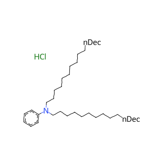 CCCCCCCCCCCCCCCCCCCCN(CCCCCCCCCCCCCCCCCCCC)c1ccccc1.Cl